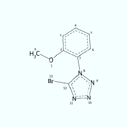 COc1ccccc1-n1nnnc1Br